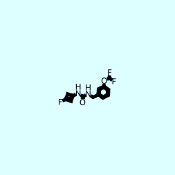 O=C(NCc1cccc(OC(F)F)c1)NC12CC(F)(C1)C2